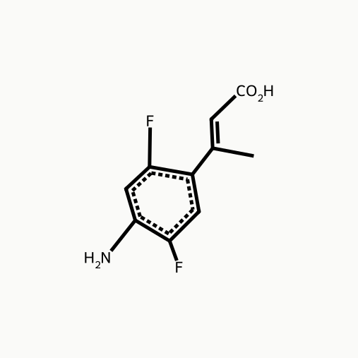 CC(=CC(=O)O)c1cc(F)c(N)cc1F